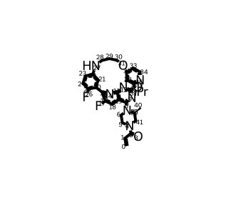 C=CC(=O)N1CCN(c2nc(=O)n3c4nc(c(F)cc24)-c2cc(ccc2F)NCCCOc2ccnc(C(C)C)c2-3)[C@@H](C)C1